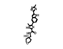 Cc1noc(-c2cc3cc(-c4nc(C(=O)NCC5(O)CCOCC5)[nH]c4C)ccc3[nH]2)n1